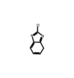 ClC1=NC2=CC=CCC2=N1